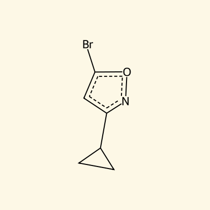 Brc1cc(C2CC2)no1